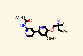 COC(=O)Nc1cc(-c2cc(OC)c(OCC(C)(N)CC(C)C)cn2)ccn1